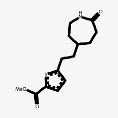 COC(=O)c1ccc(CCC2CCNC(=O)CC2)s1